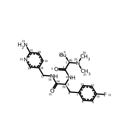 CCC(C)[C@H](C(=O)N[C@@H](Cc1ccc(F)cc1)C(=O)NCc1ccc(N)nc1)N(C)C